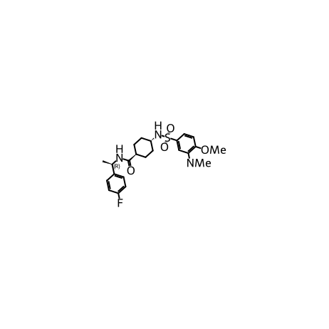 CNc1cc(S(=O)(=O)N[C@H]2CC[C@H](C(=O)N[C@H](C)c3ccc(F)cc3)CC2)ccc1OC